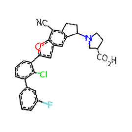 N#Cc1c2c(cc3cc(-c4cccc(-c5cccc(F)c5)c4Cl)oc13)C(N1CCC(C(=O)O)C1)CC2